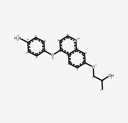 CC(O)COc1ccc2c(Oc3ccc(N)cc3)ccnc2c1